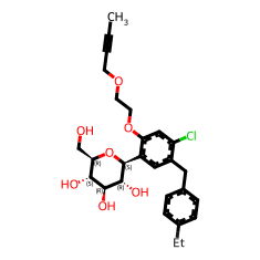 CC#CCOCCOc1cc(Cl)c(Cc2ccc(CC)cc2)cc1[C@@H]1O[C@H](CO)[C@@H](O)[C@H](O)[C@H]1O